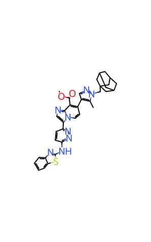 COC(=O)c1c(-c2cnn(CC34CC5CC(CC(C5)C3)C4)c2C)ccn2c(-c3ccc(Nc4nc5ccccc5s4)nn3)cnc12